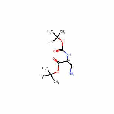 CC(C)(C)OC(=O)N[C@@H](CN)C(=O)OC(C)(C)C